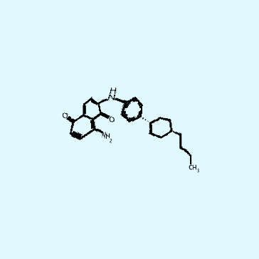 CCCC[C@H]1CC[C@H](c2ccc(NC3=CC=C4C(=O)C=CC(N)=C4C3=O)cc2)CC1